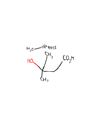 CC(C)(O)CC(=O)O.CCCCCC